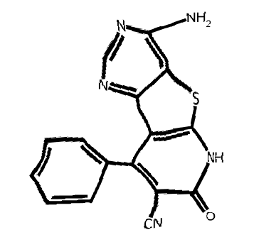 N#Cc1c(-c2ccccc2)c2c([nH]c1=O)sc1c(N)ncnc12